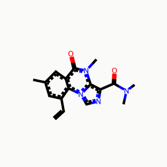 C=Cc1cc(C)cc2c(=O)n(C)c3c(C(=O)N(C)C)ncn3c12